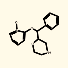 [O-][n+]1ccccc1OC(c1ccccc1)C1CNCCO1